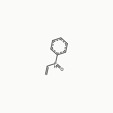 C=C[PH](=O)c1ccccc1